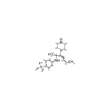 C=C(Nc1ccc(C(F)(F)F)cc1)/C(=N\C=C/C)C1CCNCC1